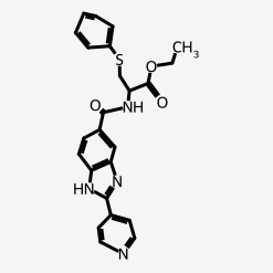 CCOC(=O)C(CSc1ccccc1)NC(=O)c1ccc2[nH]c(-c3ccncc3)nc2c1